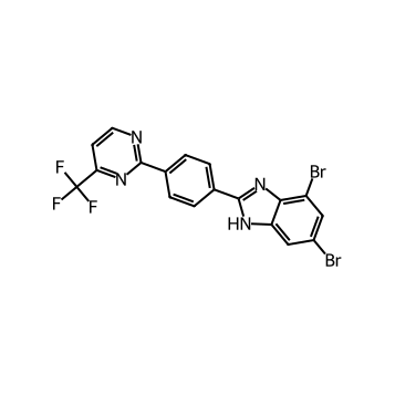 FC(F)(F)c1ccnc(-c2ccc(-c3nc4c(Br)cc(Br)cc4[nH]3)cc2)n1